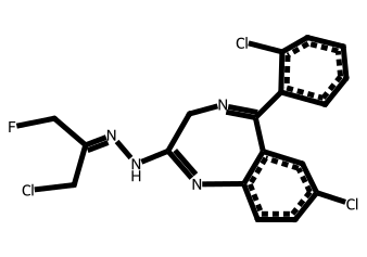 FCC(CCl)=NNC1=Nc2ccc(Cl)cc2C(c2ccccc2Cl)=NC1